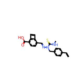 C=Cc1ccc(CN(N=Cc2ccc(C(=O)O)c3c2C=C3)C(=S)NC)cc1